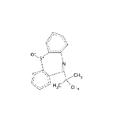 CC(C)(C)C1=Nc2ccccc2[S+]([O-])c2ccccc21